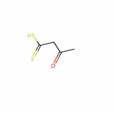 CC(=O)CC(=S)S